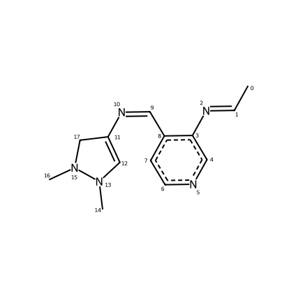 C/C=N/c1cnccc1/C=N\C1=CN(C)N(C)C1